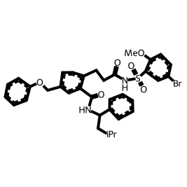 COc1ccc(Br)cc1S(=O)(=O)NC(=O)CCc1ccc(COc2ccccc2)cc1C(=O)NC(CC(C)C)c1ccccc1